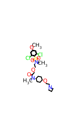 COc1cc(Cl)c(S(=O)(=O)N(C)CCOCC(=O)N(C)[C@H]2CC[C@@H](OCCN3CCC3)CC2)c(Cl)c1